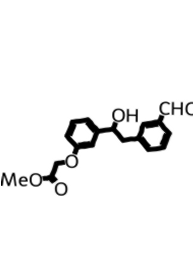 COC(=O)COc1cccc(C(O)Cc2cccc(C=O)c2)c1